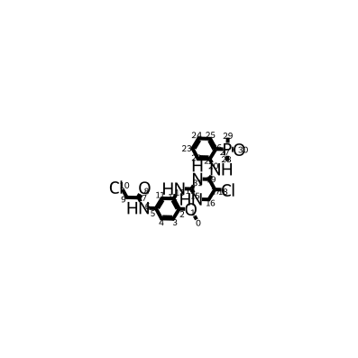 COc1ccc(NC(=O)CCl)cc1NC1NCC(Cl)C(Nc2ccccc2P(C)(C)=O)N1